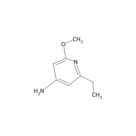 CCc1cc(N)cc(OC)n1